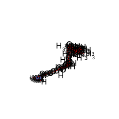 CCCCCCN(C(=O)[C@@H](NC(=O)[C@H]1CCCCN1C)[C@@H](C)CC)[C@H](C[C@@H](OC(C)=O)c1nc(C(=O)N[C@@H](Cc2ccc(NCCOCNC(=O)CNC(=O)[C@H](Cc3ccccc3)NC(=O)CNC(=O)CNC(=O)CCOCCOCCOCCOCCNC(=O)CCC(=O)/C=C3/Cc4ccccc4C#Cc4ccccc43)cc2)CC(C)(C)C(=O)O)cs1)C(C)C